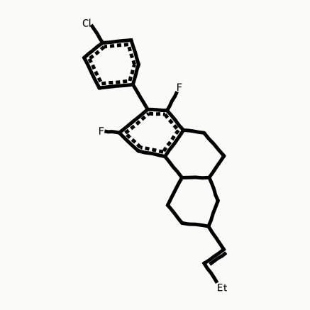 CCC=CC1CCC2c3cc(F)c(-c4ccc(Cl)cc4)c(F)c3CCC2C1